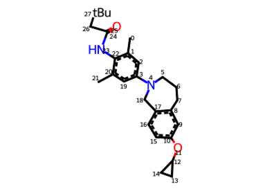 Cc1cc(N2CCCc3cc(OC4CC4)ccc3C2)cc(C)c1NC(=O)CC(C)(C)C